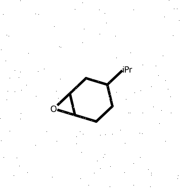 [CH2]C(C)C1CCC2OC2C1